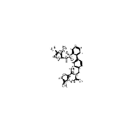 CCCCC(=O)N(Cc1ccc(-c2ccccc2S(=O)(=O)Nc2onc(C)c2C)cc1)C(c1nc(C)no1)C(C)C